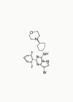 Fc1cccc(F)c1-c1nc(N[C@H]2CC[C@H](N3CCOCC3)CC2)n2ncc(Br)c2n1